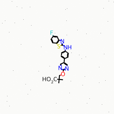 CC(C)(COc1ncc(-c2ccc(Nc3nc4cc(F)ccc4s3)cc2)cn1)C(=O)O